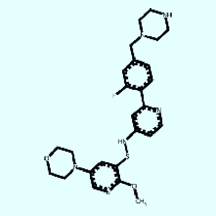 COc1ncc(N2CCOCC2)cc1SNc1ccnc(-c2ccc(CN3CCNCC3)cc2F)c1